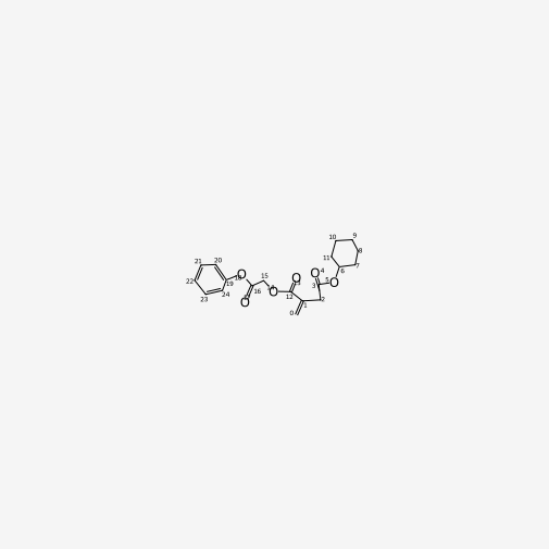 C=C(CC(=O)OC1CCCCC1)C(=O)OCC(=O)Oc1ccccc1